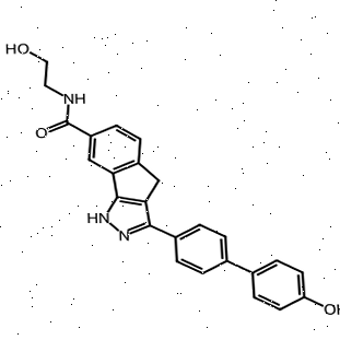 O=C(NCCO)c1ccc2c(c1)-c1[nH]nc(-c3ccc(-c4ccc(O)cc4)cc3)c1C2